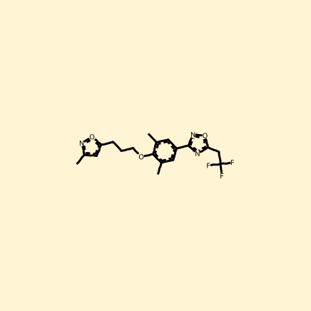 Cc1cc(CCCOc2c(C)cc(-c3noc(CC(F)(F)F)n3)cc2C)on1